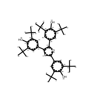 CC(C)(C)c1cc(-c2nc(-c3cc(C(C)(C)C)c(O)c(C(C)(C)C)c3)c(-c3cc(C(C)(C)C)c(O)c(C(C)(C)C)c3)o2)cc(C(C)(C)C)c1O